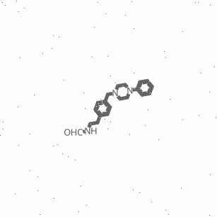 O=CNCCc1ccc(CN2CCN(c3ccccc3)CC2)cc1